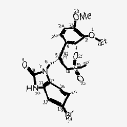 CCOc1cc([C@@H](Cn2c(=O)[nH]c3cc(Br)ccc32)CS(C)(=O)=O)ccc1OC